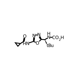 CC(C)(C)[C@H](NC(=O)O)c1nnc(NC(=O)C2CC2)o1